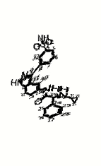 NS(=O)(=O)c1cccc(-c2n[nH]c3ccc(NC(=O)C(NC4CC4)c4ccccc4)cc23)c1